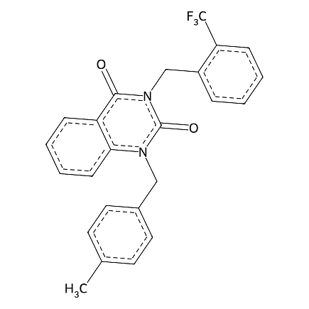 Cc1ccc(Cn2c(=O)n(Cc3ccccc3C(F)(F)F)c(=O)c3ccccc32)cc1